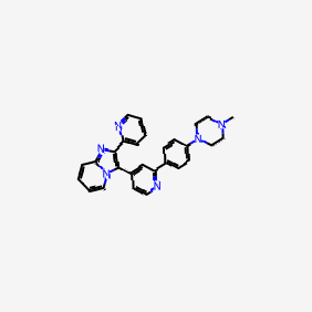 CN1CCN(c2ccc(-c3cc(-c4c(-c5ccccn5)nc5ccccn45)ccn3)cc2)CC1